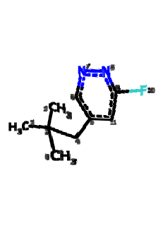 CC(C)(C)Cc1cnnc(F)c1